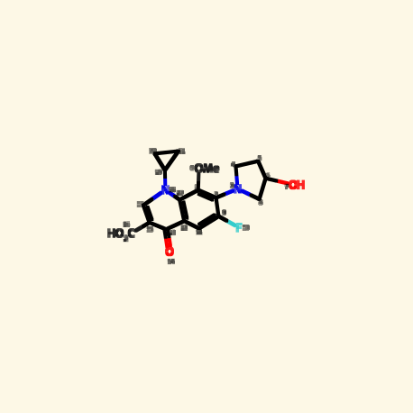 COc1c(N2CCC(O)C2)c(F)cc2c(=O)c(C(=O)O)cn(C3CC3)c12